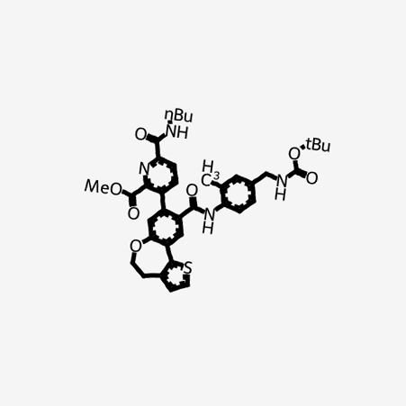 CCCCNC(=O)c1ccc(-c2cc3c(cc2C(=O)Nc2ccc(CNC(=O)OC(C)(C)C)cc2C)-c2sccc2CCO3)c(C(=O)OC)n1